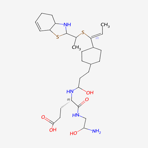 C/C=C(\SC(C)C1NC2CCC=CC2S1)C1CCC(CCC(O)N[C@@H](CCC(=O)O)C(=O)NCC(N)O)CC1